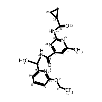 Cc1cc(C(=O)NC(C)c2cccc(OCC(F)(F)F)n2)nc(NC(=O)C2CC2)n1